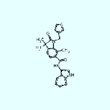 Cc1c(C(=O)Nc2c[nH]c3ccccc23)ccc2c1N(Cc1ccsc1)C(=O)C2(C)C